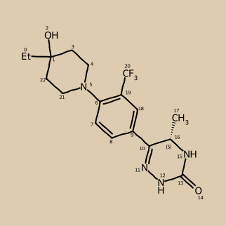 CCC1(O)CCN(c2ccc(C3=NNC(=O)N[C@H]3C)cc2C(F)(F)F)CC1